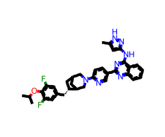 Cc1cc(Nc2nc(-c3ccc(N4CC5CC(C4)[C@H](Cc4cc(F)c(OC(C)C)c(F)c4)C5)nc3)nc3ccccc23)n[nH]1